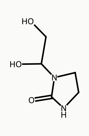 O=C1NCCN1C(O)CO